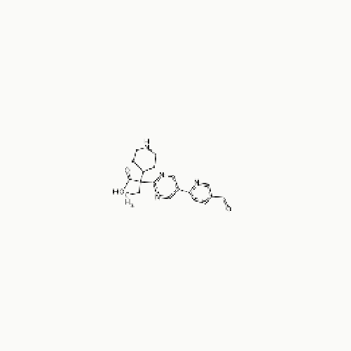 CCC(C(=O)O)(c1ncc(-c2ccc(C=O)cn2)cn1)C1CCNCC1